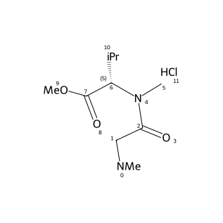 CNCC(=O)N(C)[C@H](C(=O)OC)C(C)C.Cl